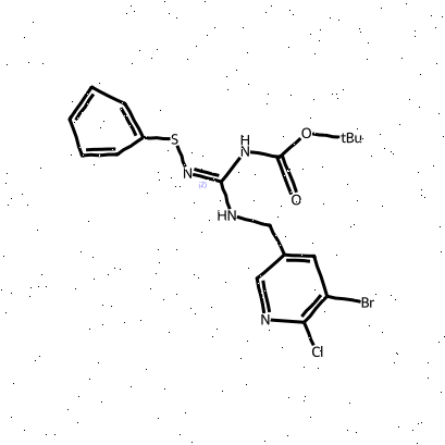 CC(C)(C)OC(=O)N/C(=N\Sc1ccccc1)NCc1cnc(Cl)c(Br)c1